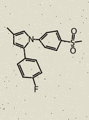 Cc1cc(-c2ccc(F)cc2)n(-c2ccc(S(C)(=O)=O)cc2)c1